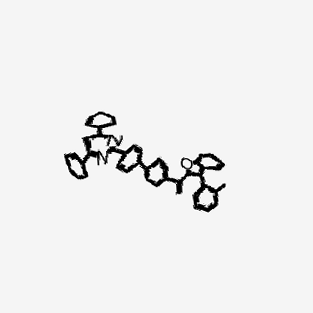 C=C(c1ccc(-c2ccc(-c3nc(C4=CCCC=C4)cc(-c4ccccc4)n3)cc2)cc1)c1oc2ccccc2c1-c1ccccc1C